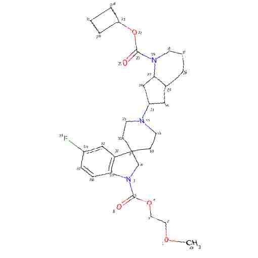 COCCOC(=O)N1CC2(CCN(C3CC4CCCN(C(=O)OC5CCC5)C4C3)CC2)c2cc(F)ccc21